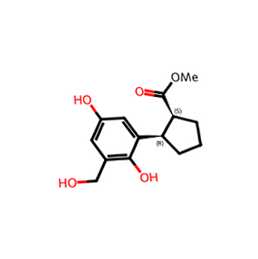 COC(=O)[C@H]1CCC[C@H]1c1cc(O)cc(CO)c1O